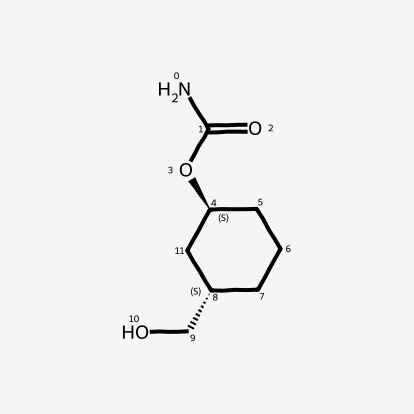 NC(=O)O[C@H]1CCC[C@H](CO)C1